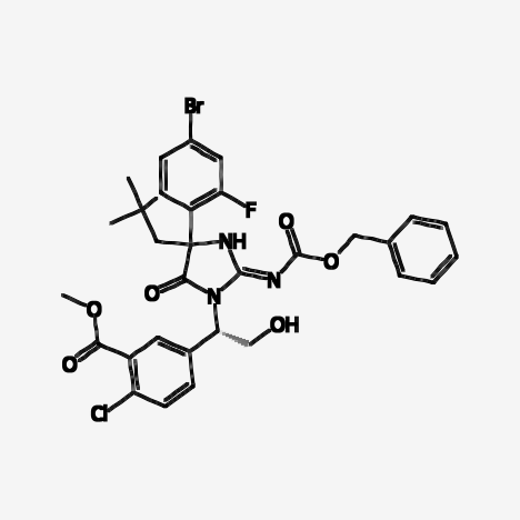 COC(=O)c1cc([C@@H](CO)N2C(=O)C(CC(C)(C)C)(c3ccc(Br)cc3F)NC2=NC(=O)OCc2ccccc2)ccc1Cl